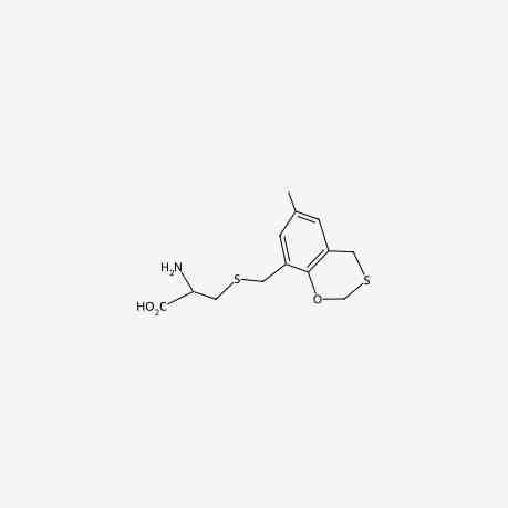 Cc1cc2c(c(CSCC(N)C(=O)O)c1)OCSC2